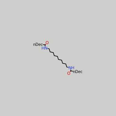 CCCCCCCCCCC(=O)NCCCCCCCCCCNC(=O)CCCCCCCCCC